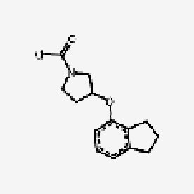 O=C(Cl)N1CCC(Oc2cccc3c2CCC3)C1